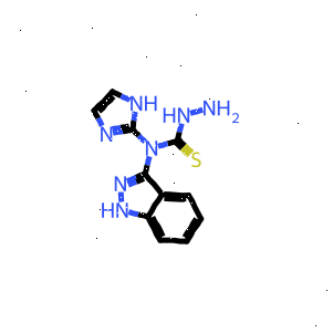 NNC(=S)N(c1ncc[nH]1)c1n[nH]c2ccccc12